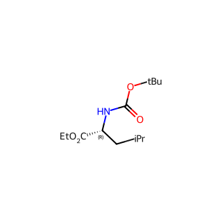 CCOC(=O)[C@@H](CC(C)C)NC(=O)OC(C)(C)C